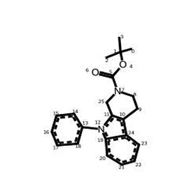 CC(C)(C)OC(=O)N1CCc2c(n(-c3ccccc3)c3ccccc23)C1